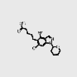 O=C(O)CCCCc1c(Cl)cc2c(cnn2C2CCCCO2)c1Br